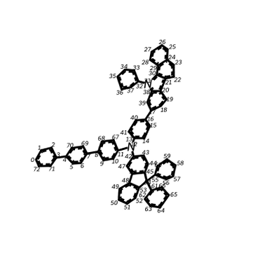 c1ccc(-c2ccc(-c3ccc(N(c4ccc(-c5ccc6c7ccc8ccccc8c7n(-c7ccccc7)c6c5)cc4)c4ccc5c(c4)-c4ccccc4C5(c4ccccc4)c4ccccc4)cc3)cc2)cc1